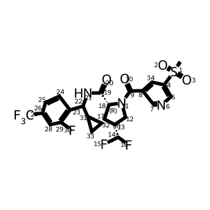 CS(=O)(=O)c1cncc(C(=O)N2C[C@H](C(F)F)C[C@@H]2C(=O)NC(c2ccc(C(F)(F)F)cc2F)C2CC2)c1